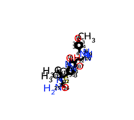 COc1ccc(Cn2nnnc2C=Cc2c(O)nc3cc(-c4sc(C(N)=O)nc4C(C)(C)C)ccn3c2=O)cc1